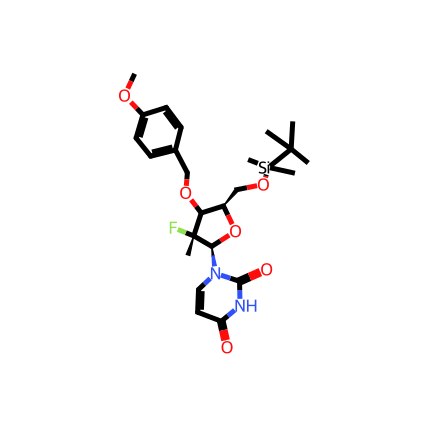 COc1ccc(COC2[C@@H](CO[Si](C)(C)C(C)(C)C)O[C@@H](n3ccc(=O)[nH]c3=O)[C@]2(C)F)cc1